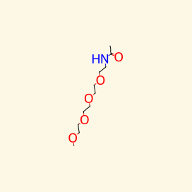 COCCOCCOCCOCCNC(C)=O